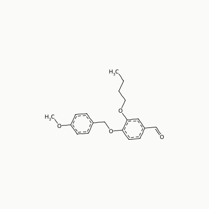 CCCCOc1cc(C=O)ccc1OCc1ccc(OC)cc1